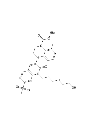 Cc1cccc2c1N(C(=O)OC(C)(C)C)CCN2c1cc2cnc(S(C)(=O)=O)nc2n(CCCOCCO)c1=O